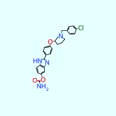 NC(=O)Oc1ccc2[nH]c(-c3ccc(OC4CCCN(Cc5ccc(Cl)cc5)C4)cc3)nc2c1